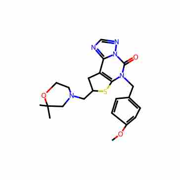 COc1ccc(Cn2c3c(c4ncnn4c2=O)CC(CN2CCOC(C)(C)C2)S3)cc1